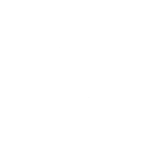 IC1=CC2C=CC(C3CCC4C(CCC5CCC=CC54)C3)CC2CC1